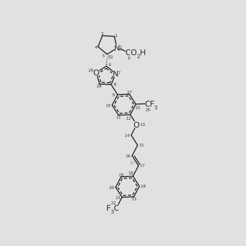 O=C(O)N1CCC[C@H]1c1nc(-c2ccc(OCC/C=C/c3ccc(C(F)(F)F)cc3)c(C(F)(F)F)c2)co1